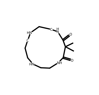 CC1(C)C(=O)NCCNCCCNCCNC1=O